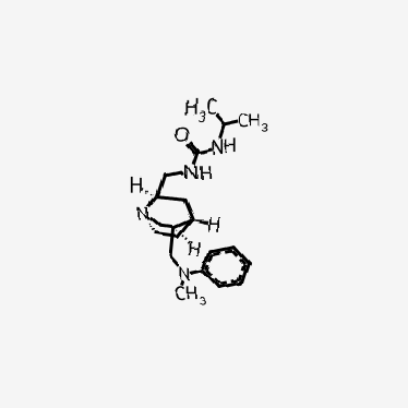 CC(C)NC(=O)NC[C@H]1C[C@@H]2CC[N@@]1C[C@@H]2CN(C)c1ccccc1